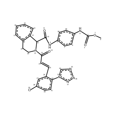 COC(=O)Nc1ccc(NC(=O)C2c3ccccc3CCN2C(=O)/C=C/c2cc(Cl)ccc2-n2cnnn2)cc1